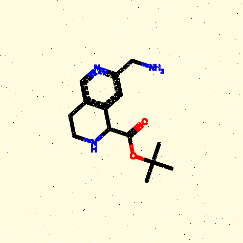 CC(C)(C)OC(=O)C1NCCc2cnc(CN)cc21